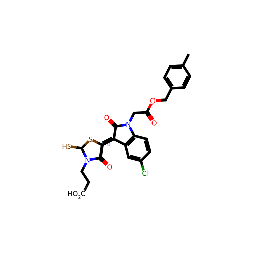 Cc1ccc(COC(=O)CN2C(=O)/C(=C3\SC(S)N(CCC(=O)O)C3=O)c3cc(Cl)ccc32)cc1